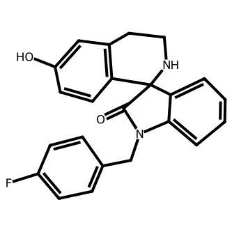 O=C1N(Cc2ccc(F)cc2)c2ccccc2C12NCCc1cc(O)ccc12